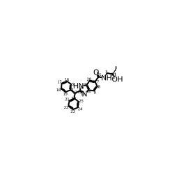 C[C@@H](O)CNC(=O)c1ccc2nc(C(c3ccccc3)c3ccccc3)[nH]c2c1